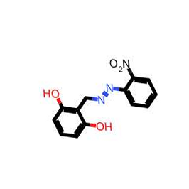 O=[N+]([O-])c1ccccc1N=NCc1c(O)cccc1O